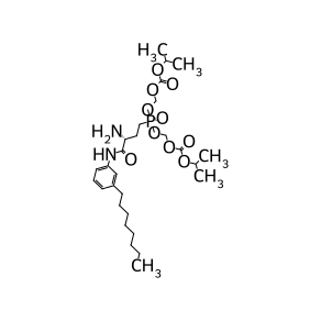 CCCCCCCCc1cccc(NC(=O)[C@H](N)CCP(=O)(OCOC(=O)OC(C)C)OCOC(=O)OC(C)C)c1